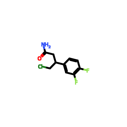 NC(=O)CC(CCl)c1ccc(F)c(F)c1